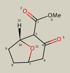 COC(=O)C1C(=O)CC2CC[C@H]1O2